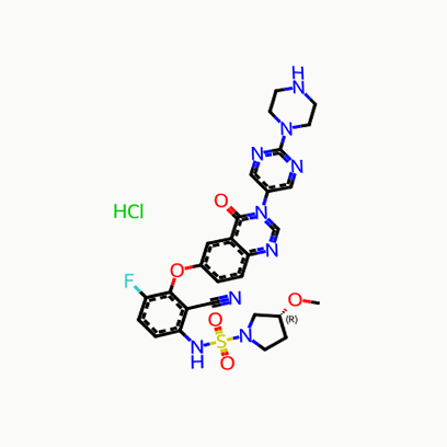 CO[C@@H]1CCN(S(=O)(=O)Nc2ccc(F)c(Oc3ccc4ncn(-c5cnc(N6CCNCC6)nc5)c(=O)c4c3)c2C#N)C1.Cl